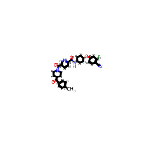 Cc1ccc(C(=O)C2CCN(C(=O)c3ccc(C(=O)N[C@H]4CC[C@@H](Oc5ccc(C#N)c(F)c5)CC4)nc3)CC2)cc1